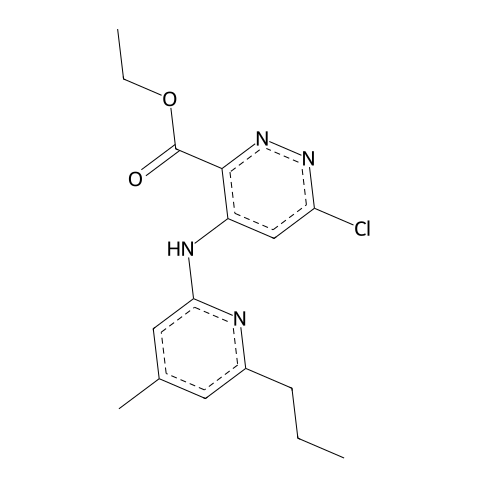 CCCc1cc(C)cc(Nc2cc(Cl)nnc2C(=O)OCC)n1